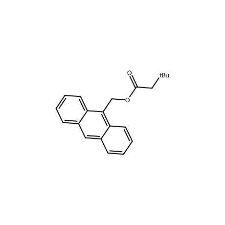 CC(C)(C)CC(=O)OCc1c2ccccc2cc2ccccc12